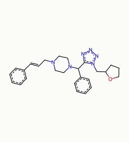 C(=Cc1ccccc1)CN1CCN(C(c2ccccc2)c2nnnn2CC2CCCO2)CC1